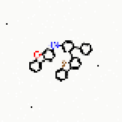 c1ccc(-c2ccc(Nc3ccc4c(c3)oc3ccccc34)cc2-c2cccc3c2sc2ccccc23)cc1